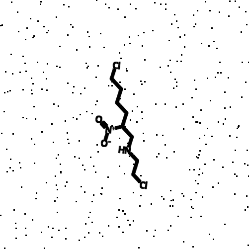 O=[N+]([O-])C(CCCCCl)CNCCCl